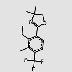 CCc1c(C2=NC(C)(C)CO2)ccc(C(F)(F)F)c1C